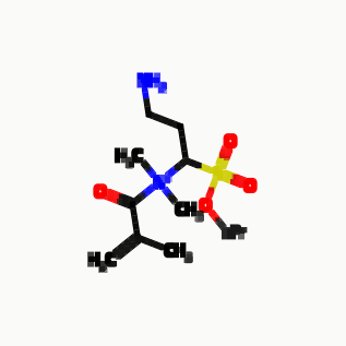 C=C(C)C(=O)[N+](C)(C)C(CCN)S(=O)(=O)OCCC